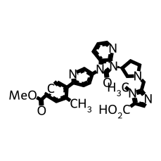 COC(=O)c1ccc(-c2ccc(-n3c(=O)n([C@H]4CCN(Cc5ncc(C(=O)O)n5C)C4)c4ncccc43)cn2)c(C)c1